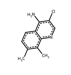 Cc1ccc2c(N)c(Cl)cnc2c1C